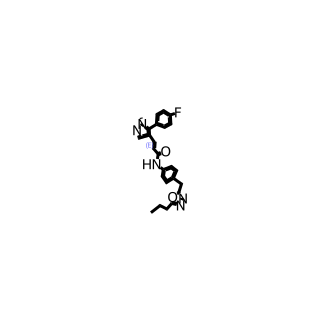 CCCc1nnc(Cc2ccc(NC(=O)/C=C/c3cnn(C)c3-c3ccc(F)cc3)cc2)o1